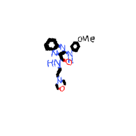 COc1ccc(Nc2nc3ccccc3nc2C(=O)NCCN2CCOCC2)cc1